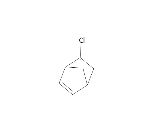 Cl[C]1CC2C=CC1C2